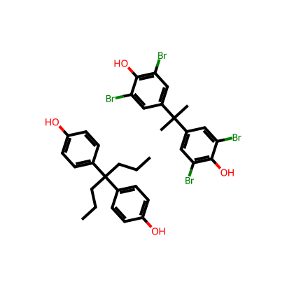 CC(C)(c1cc(Br)c(O)c(Br)c1)c1cc(Br)c(O)c(Br)c1.CCCC(CCC)(c1ccc(O)cc1)c1ccc(O)cc1